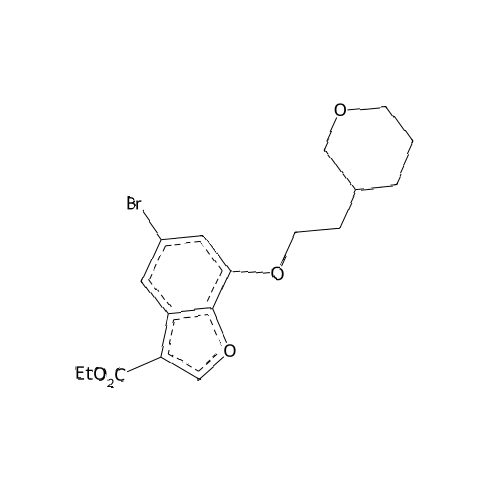 CCOC(=O)c1coc2c(OCCC3CCCOC3)cc(Br)cc12